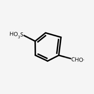 O=[C]c1ccc(S(=O)(=O)O)cc1